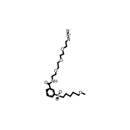 COCCC[CH]CS(=O)(=O)c1cccc(C(=O)NCCOCCOCCOCCN=[N+]=[N-])c1